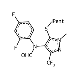 CCCC(C)Sc1c(N(C=O)c2ccc(F)cc2F)c(C(F)(F)F)nn1C